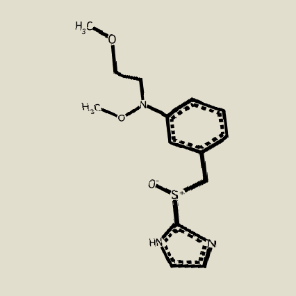 COCCN(OC)c1cccc(C[S+]([O-])c2ncc[nH]2)c1